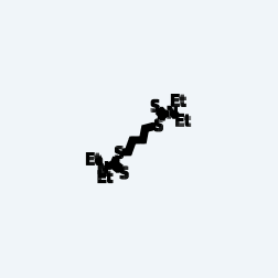 CCN(CC)C(=S)SCCCCSC(=S)N(CC)CC